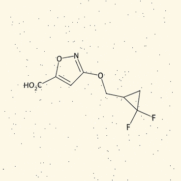 O=C(O)c1cc(OCC2CC2(F)F)no1